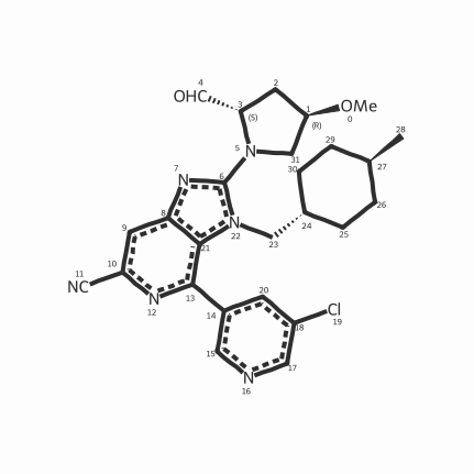 CO[C@@H]1C[C@@H](C=O)N(c2nc3cc(C#N)nc(-c4cncc(Cl)c4)c3n2C[C@H]2CC[C@H](C)CC2)C1